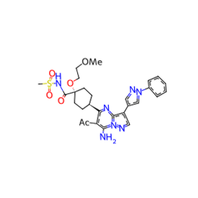 COCCO[C@]1(C(=O)NS(C)(=O)=O)CC[C@@H](c2nc3c(-c4cnn(-c5ccccc5)c4)cnn3c(N)c2C(C)=O)CC1